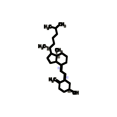 C=C1CC[C@H](O)C/C1=C/C=C1\CCC[C@@]2(C)C1CCC2[C@H](C)CCCC(C)C